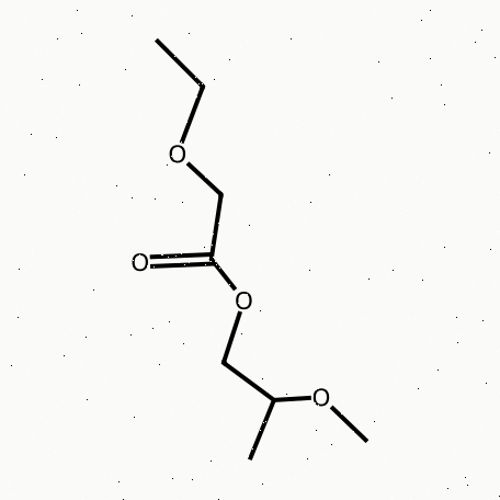 CCOCC(=O)OCC(C)OC